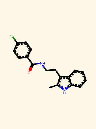 Cc1[nH]c2ccccc2c1CCNC(=O)c1ccc(Cl)cc1